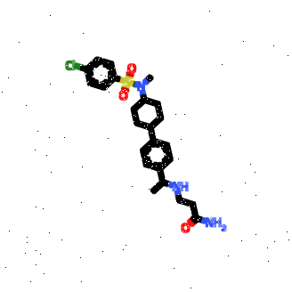 CC(NCCC(N)=O)c1ccc(C2CCC(N(C)S(=O)(=O)c3ccc(Cl)cc3)CC2)cc1